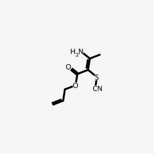 C=CCOC(=O)/C(SC#N)=C(/C)N